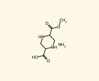 COC(=O)C1CNC(C(=O)O)CN1.N